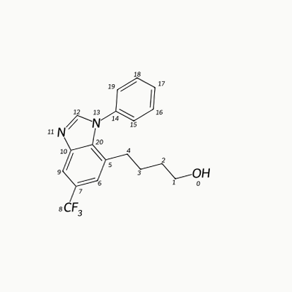 OCCCCc1cc(C(F)(F)F)cc2ncn(-c3ccccc3)c12